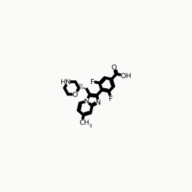 Cc1ccn2c(C[C@H]3CNCCO3)c(-c3c(F)cc(C(=O)O)cc3F)nc2c1